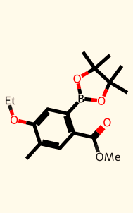 CCOc1cc(B2OC(C)(C)C(C)(C)O2)c(C(=O)OC)cc1C